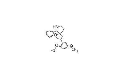 FC(F)(F)Oc1ccc(OC2CC2)c(C2COC3(CCCNC3c3ccccc3)C2)c1